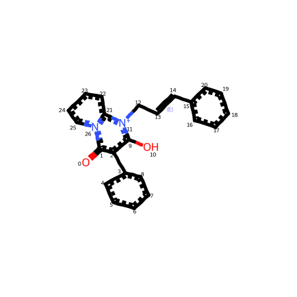 O=c1c(-c2ccccc2)c(O)[n+](C/C=C/c2ccccc2)c2ccccn12